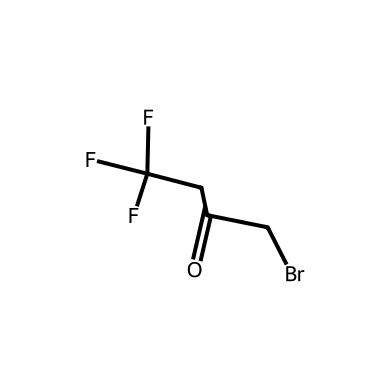 O=C(CBr)CC(F)(F)F